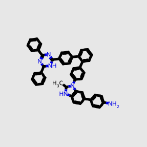 CC1Nc2ccc(-c3ccc(N)cc3)cc2N1c1ccc(-c2ccccc2-c2ccc(C3=NC(c4ccccc4)=NC(c4ccccc4)N3)cc2)cc1